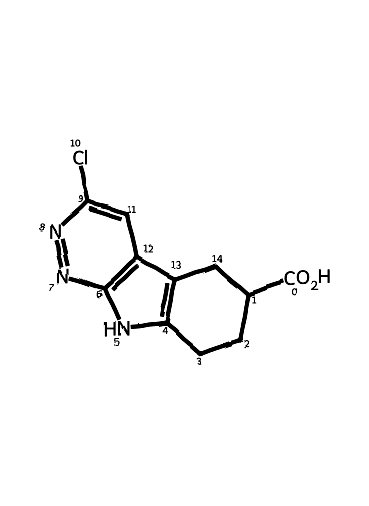 O=C(O)C1CCc2[nH]c3nnc(Cl)cc3c2C1